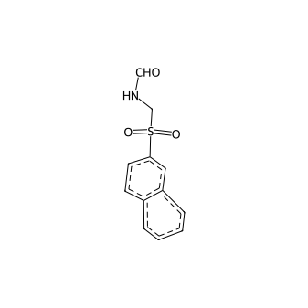 O=CNCS(=O)(=O)c1ccc2ccccc2c1